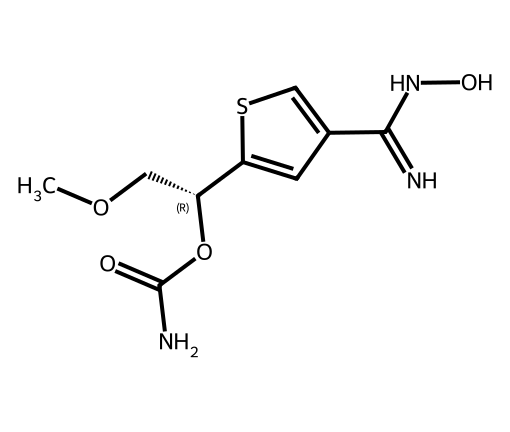 COC[C@@H](OC(N)=O)c1cc(C(=N)NO)cs1